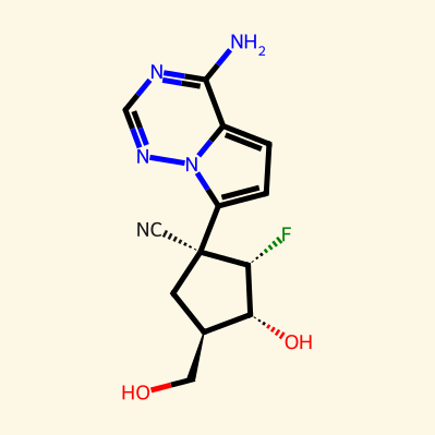 N#C[C@@]1(c2ccc3c(N)ncnn23)C[C@H](CO)[C@@H](O)[C@H]1F